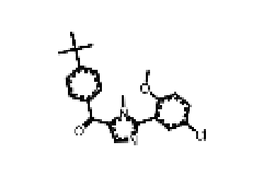 COc1ccc(Cl)cc1-c1ncc(C(=O)c2ccc(C(C)(C)C)cc2)n1C